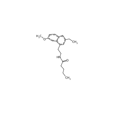 CCCCC(=O)NCCc1cc(CC)cc2ccc(OC)cc12